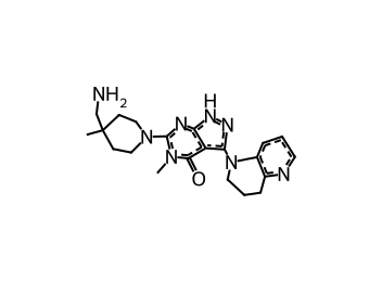 Cn1c(N2CCC(C)(CN)CC2)nc2[nH]nc(N3CCCc4ncccc43)c2c1=O